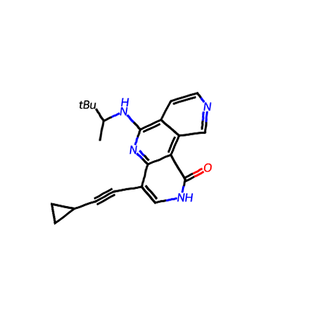 CC(Nc1nc2c(C#CC3CC3)c[nH]c(=O)c2c2cnccc12)C(C)(C)C